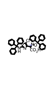 O=C(O)/C(=N\OC(c1ccccc1)(c1ccccc1)c1ccccc1)c1nc(NC(c2ccccc2)(c2ccccc2)c2ccccc2)sc1Cl